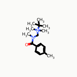 Cc1ccc(C(=O)N(C)C[N+](C)(C)C(C)(C)C)cc1